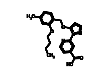 CCCCOc1cc(C)ccc1COc1ccnn1-c1cc(C(=O)O)ccn1